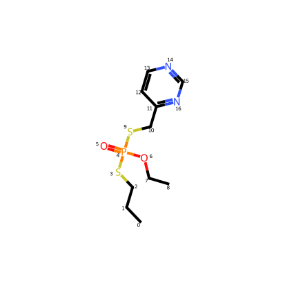 CCCSP(=O)(OCC)SCc1ccncn1